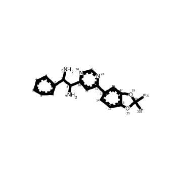 NC(c1ccccc1)C(N)c1cc(-c2ccc3c(c2)OC(F)(F)O3)ncn1